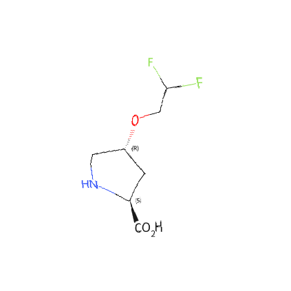 O=C(O)[C@@H]1C[C@@H](OCC(F)F)CN1